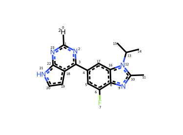 [2H]c1nc(-c2cc(F)c3nc(C)n(C(C)C)c3c2)c2cc[nH]c2n1